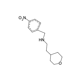 O=[N+]([O-])c1ccc(CNCCC2CCOCC2)cc1